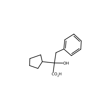 O=C(O)C(O)(Cc1ccccc1)C1CCCC1